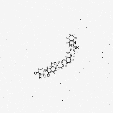 O=C1CCC(N2Cc3cc(C4(O)CCN(Cc5ccc(N6CCC(Nc7ncc8c(n7)CCCC8)CC6)cc5)CC4)ccc3C2=O)C(=O)N1